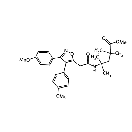 COC(=O)C(C)(C)CC(C)(C)NC(=O)Cc1onc(-c2ccc(OC)cc2)c1-c1ccc(OC)cc1